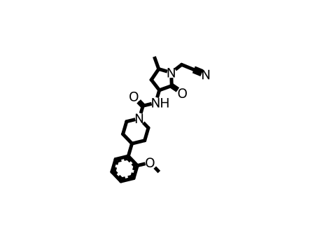 COc1ccccc1C1CCN(C(=O)NC2CC(C)N(CC#N)C2=O)CC1